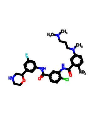 CN(C)CCCN(C)c1ccc([N+](=O)[O-])c(C(=O)Nc2cc(C(=O)Nc3cc(F)cc(C4CNCCO4)c3)ccc2Cl)c1